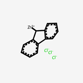 [Cl-].[Cl-].[Cl-].[Zr+3][CH]1c2ccccc2-c2ccccc21